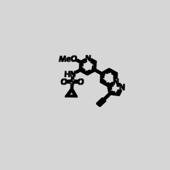 C#Cc1cnn2ccc(-c3cnc(OC)c(NS(=O)(=O)C4CC4)c3)cc12